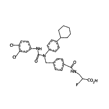 O=C(NCC(F)C(=O)O)c1ccc(CN(C(=O)Nc2ccc(Cl)c(Cl)c2)c2ccc(C3CCCCC3)cc2)cc1